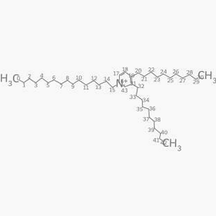 CCCCCCCCCCCCCCCC[n+]1ccc(CCCCCCCCCCC)c(CCCCCCCCCCC)c1